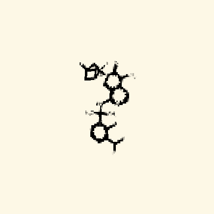 Cc1c(=O)n([C@H]2CC3(F)CC2C3)cc2c(NC(C)(C)c3cccc(C(F)F)c3F)ncnc12